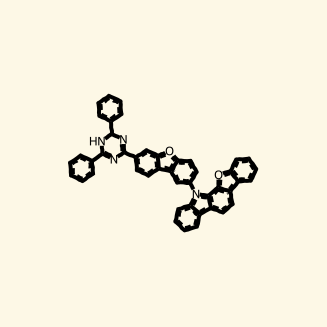 c1ccc(C2=NC(c3ccc4c(c3)oc3ccc(-n5c6ccccc6c6ccc7c8ccccc8oc7c65)cc34)=NC(c3ccccc3)N2)cc1